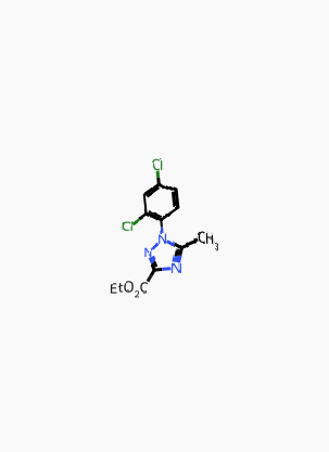 CCOC(=O)c1nc(C)n(-c2ccc(Cl)cc2Cl)n1